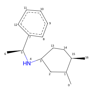 CC1CC(N[C@@H](C)c2ccccc2)CC[C@H]1C